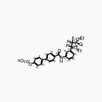 CCCCCCCCOc1ccc(-c2ccc(C(=O)Nc3cccc(C(F)(F)C(F)(F)P(=O)(OCC)OCC)c3)cc2)cc1